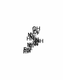 Oc1cc(F)cc(-c2cncc3[nH]c(-c4n[nH]c5ncc(-c6cncc(CN7CCC(F)(F)C7)c6)cc45)cc23)c1